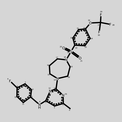 Cc1cc(Nc2ccc(F)cc2)nc(N2CCCN(S(=O)(=O)c3ccc(OC(F)(F)F)cc3)CC2)n1